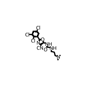 CN(C)CCCNC(=O)Nc1oc(-c2cc(Cl)cc(Cl)c2Cl)nc1C#N